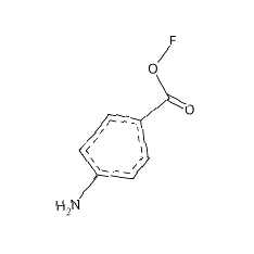 Nc1ccc(C(=O)OF)cc1